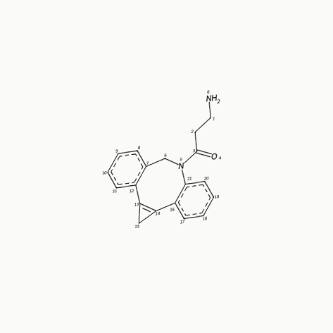 NCCC(=O)N1Cc2ccccc2C2=C(C2)c2ccccc21